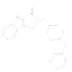 O=C1/C(=C/C2CCN(Cc3ccccc3)CC2)Cc2c1[nH]c1ccccc21